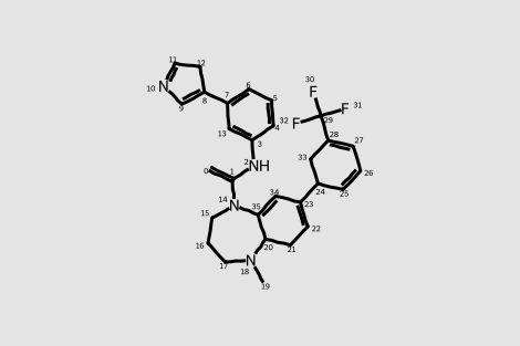 C=C(Nc1cccc(C2=CN=CC2)c1)N1CCCN(C)C2CC=C(C3C=CC=C(C(F)(F)F)C3)C=C21